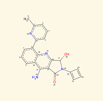 Cc1cccc(-c2cccc3c(N)c4c(nc23)C(O)N(C2=CC=C2)C4=O)n1